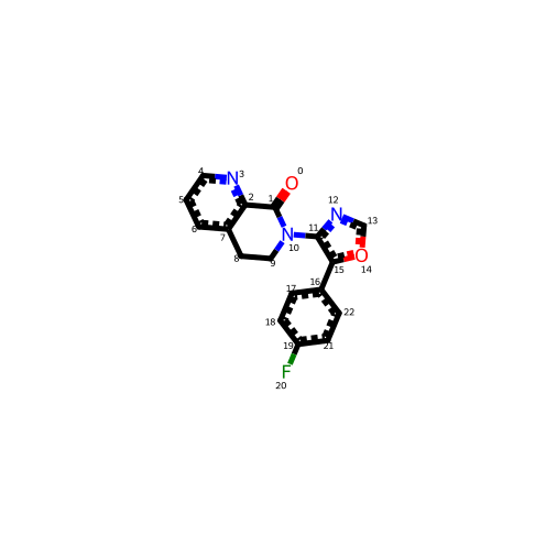 O=C1c2ncccc2CCN1c1ncoc1-c1ccc(F)cc1